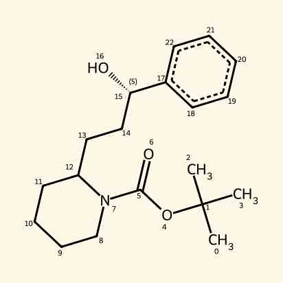 CC(C)(C)OC(=O)N1CCCCC1CC[C@H](O)c1ccccc1